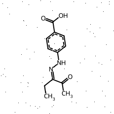 CCC(=NNc1ccc(C(=O)O)cc1)C(C)=O